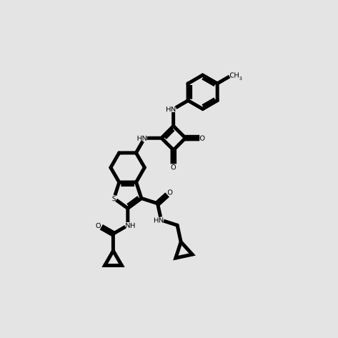 Cc1ccc(Nc2c(NC3CCc4sc(NC(=O)C5CC5)c(C(=O)NCC5CC5)c4C3)c(=O)c2=O)cc1